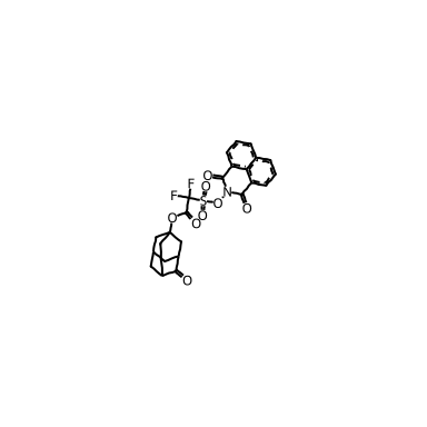 O=C1C2CC3CC1CC(OC(=O)C(F)(F)S(=O)(=O)ON1C(=O)c4cccc5cccc(c45)C1=O)(C3)C2